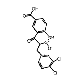 O=C(O)c1ccc2c(c1)C(=O)C(Cc1ccc(Cl)c(Cl)c1)[S+]([O-])N2